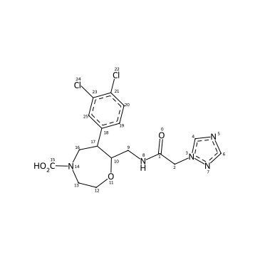 O=C(Cn1cncn1)NCC1OCCN(C(=O)O)CC1c1ccc(Cl)c(Cl)c1